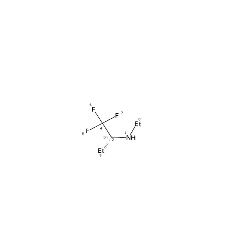 CCN[C@H](CC)C(F)(F)F